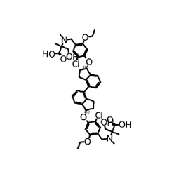 CCOc1cc(O[C@H]2CCc3c(-c4cccc5c4CC[C@@H]5Oc4cc(OCC)c(CN(C)C(C)(CO)C(=O)O)cc4Cl)cccc32)c(Cl)cc1CN(C)C(C)(CO)C(=O)O